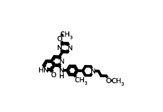 COCCCN1CCC(c2ccc(Nc3nc(-c4cncc(OC)n4)cc4cc[nH]c(=O)c34)cc2C)CC1